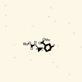 COC(=O)c1cc(F)ccc1[C@@H]1C[C@H]1NC(=O)OC(C)(C)C